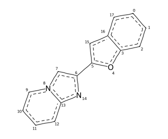 c1ccc2oc(-c3cn4ccccc4n3)cc2c1